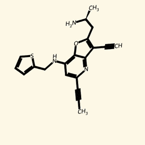 C#Cc1c(C[C@H](C)N)oc2c(NCc3cccs3)cc(C#CC)nc12